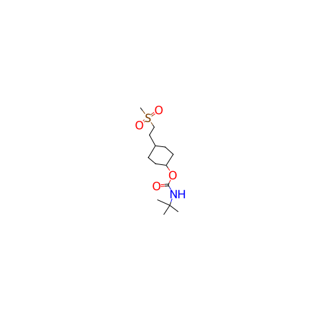 CC(C)(C)NC(=O)OC1CCC(CCS(C)(=O)=O)CC1